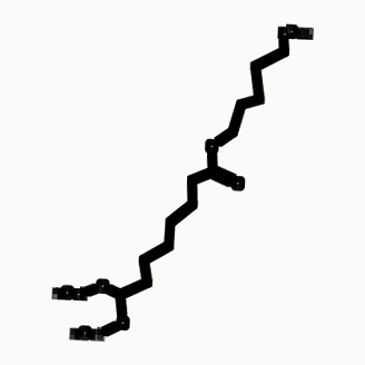 CCCCCCCCCCCCCCCOC(=O)CCCCCCC(OCCCCCCCC)OCCCCCCCC